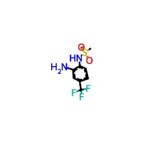 CS(=O)(=O)Nc1ccc(C(F)(F)F)cc1N